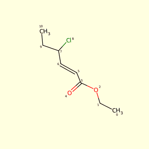 CCOC(=O)C=CC(Cl)CC